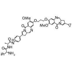 COc1cc2c(cc1OCCCOc1cc3c(cc1OC)C(=O)N1C=C(C4CC4)CC1C=N3)N=CC1CC(c3ccc(NC(=O)[C@H](C)NC(=O)[C@@H](N)C(C)C)cc3)=CN1C2=O